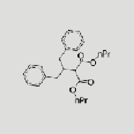 CCCOC(=O)C(C(=O)OCCC)C(Cc1ccccc1)Cc1ccccc1